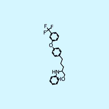 OCC(CCCc1ccc(Oc2cccc(C(F)(F)F)c2)cc1)Nc1ccccc1